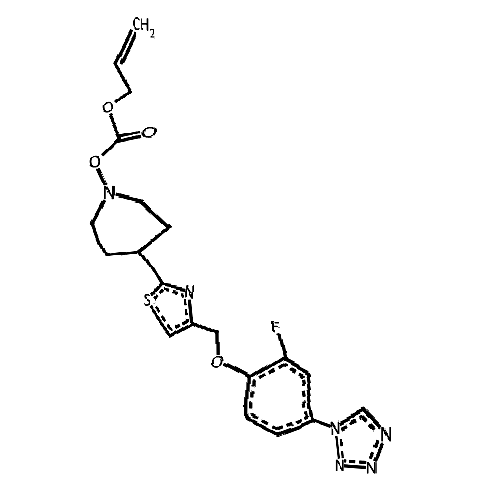 C=CCOC(=O)ON1CCC(c2nc(COc3ccc(-n4cnnn4)cc3F)cs2)CC1